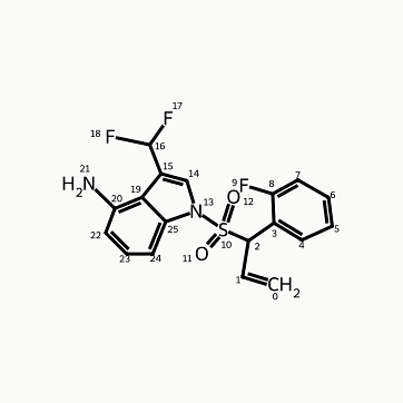 C=CC(c1ccccc1F)S(=O)(=O)n1cc(C(F)F)c2c(N)cccc21